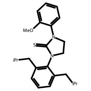 COc1ccccc1N1CCN(c2c(CC(C)C)cccc2CC(C)C)C1=S